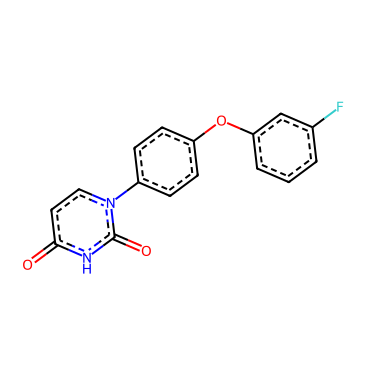 O=c1ccn(-c2ccc(Oc3cccc(F)c3)cc2)c(=O)[nH]1